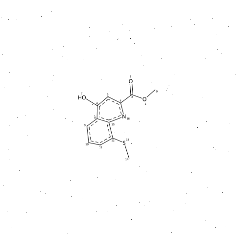 COC(=O)c1cc(O)c2cccc(SC)c2n1